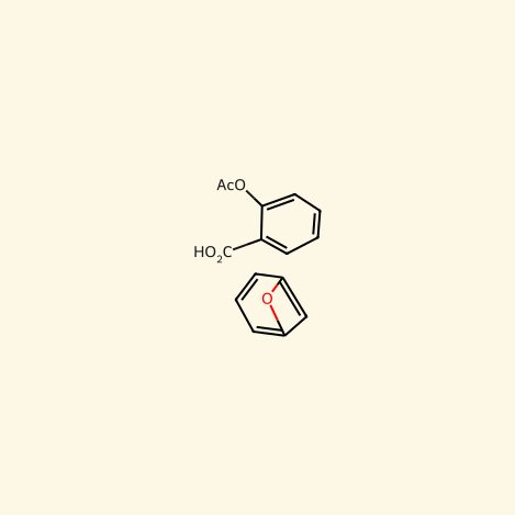 CC(=O)Oc1ccccc1C(=O)O.c1cc2cc(c1)O2